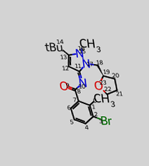 Cc1c(Br)cccc1C(=O)N=c1cc(C(C)(C)C)n(C)n1C[C@H]1CCCO1